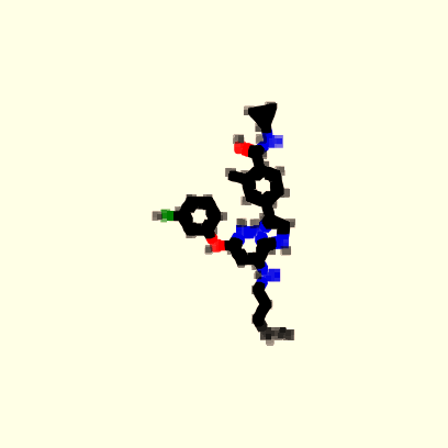 CC(=O)NCCCNc1cc(Oc2cccc(F)c2)nn2c(-c3ccc(C(=O)NC4CC4)c(C)c3)cnc12